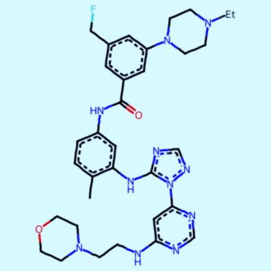 CCN1CCN(c2cc(CF)cc(C(=O)Nc3ccc(C)c(Nc4ncnn4-c4cc(NCCN5CCOCC5)ncn4)c3)c2)CC1